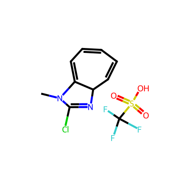 CN1C2=CC=CC=CC2N=C1Cl.O=S(=O)(O)C(F)(F)F